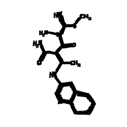 CSC(=N)N(N)C(=O)/C(C(N)=O)=C(\C)Nc1cnc2ccccc2c1